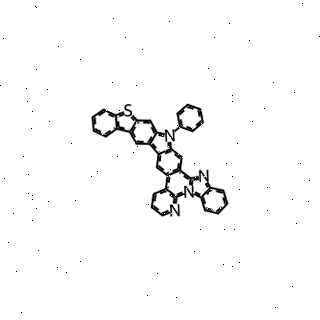 c1ccc(-n2c3cc4sc5ccccc5c4cc3c3cc4c5cccnc5n5c6ccccc6nc5c4cc32)cc1